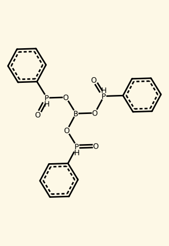 O=[PH](OB(O[PH](=O)c1ccccc1)O[PH](=O)c1ccccc1)c1ccccc1